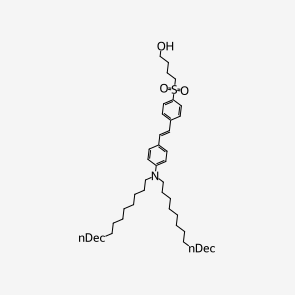 CCCCCCCCCCCCCCCCCCN(CCCCCCCCCCCCCCCCCC)c1ccc(C=Cc2ccc(S(=O)(=O)CCCCO)cc2)cc1